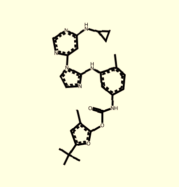 Cc1ccc(NC(=O)Oc2oc(C(C)(C)C)cc2C)cc1Nc1nccn1-c1cc(NC2CC2)ncn1